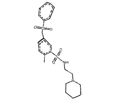 Cc1ccc(S(=O)(=O)c2ccccc2)cc1S(=O)(=O)NCCN1CCCCC1